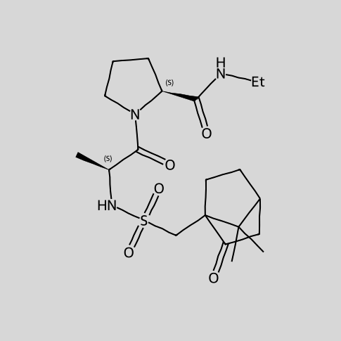 CCNC(=O)[C@@H]1CCCN1C(=O)[C@H](C)NS(=O)(=O)CC12CCC(CC1=O)C2(C)C